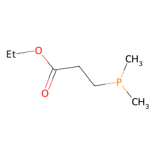 CCOC(=O)CCP(C)C